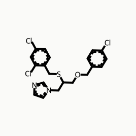 Clc1ccc(COCC(Cn2ccnc2)SCc2ccc(Cl)cc2Cl)cc1